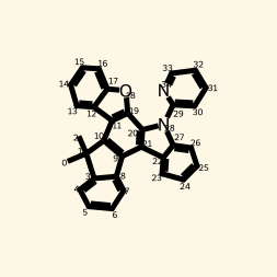 CC1(C)c2ccccc2-c2c1c1c3ccccc3oc1c1c2c2ccccc2n1-c1ccccn1